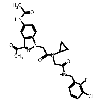 CC(=O)Nc1ccc2c(c1)c(C(C)=O)nn2CC(=O)N(CC(=O)NCc1cccc(Cl)c1F)C1CC1